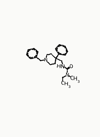 CCN(C)C(=O)NCC1(c2ccccc2)CCN(Cc2ccccc2)CC1